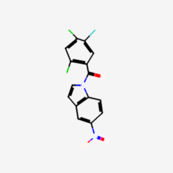 O=C(c1cc(F)c(Cl)cc1Cl)n1ccc2cc([N+](=O)O)ccc21